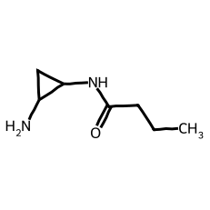 CCCC(=O)NC1CC1N